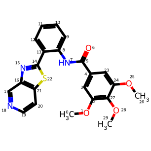 COc1cc(C(=O)Nc2ccccc2-c2nc3cnccc3s2)cc(OC)c1OC